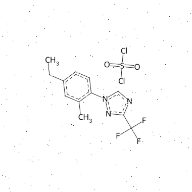 CCc1ccc(-n2cnc(C(F)(F)F)n2)c(C)c1.O=S(=O)(Cl)Cl